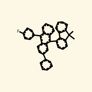 CC1(C)c2ccccc2-c2c(-c3c4ccccc4c(-c4ccc(F)cc4)c4ccc(-c5ccccc5)cc34)cccc21